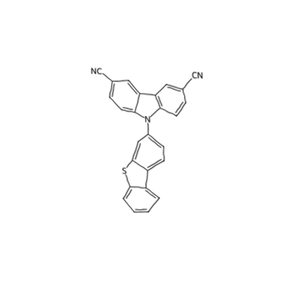 N#Cc1ccc2c(c1)c1cc(C#N)ccc1n2-c1ccc2c(c1)sc1ccccc12